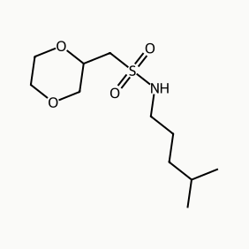 CC(C)CCCNS(=O)(=O)CC1COCCO1